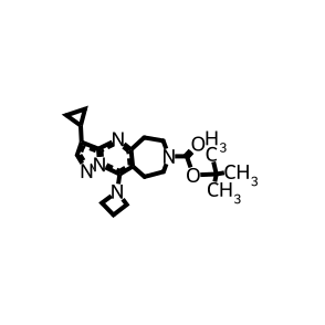 CC(C)(C)OC(=O)N1CCc2nc3c(C4CC4)cnn3c(N3CCC3)c2CC1